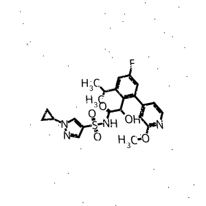 COc1cc(-c2cc(F)cc(C(C)C)c2C(O)C(=O)NS(=O)(=O)c2cnn(C3CC3)c2)ccn1